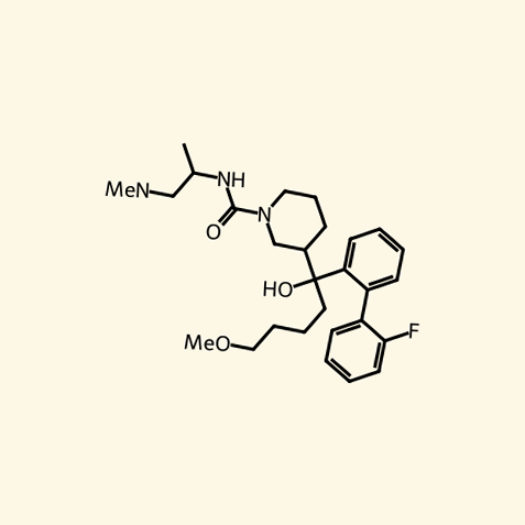 CNCC(C)NC(=O)N1CCCC(C(O)(CCCCOC)c2ccccc2-c2ccccc2F)C1